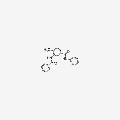 Cc1ccc(C(=O)Nc2ccccc2)cc1NC(=O)c1ccccc1